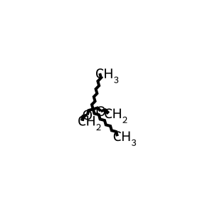 C=COCC(CCCCCCCCC)(CCCCCCCCC)COC=C